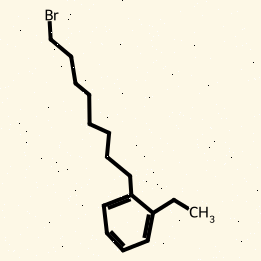 CCc1ccccc1CCCCCCCCBr